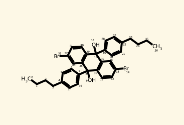 CCCCc1ccc(C2(O)c3ccc(Br)cc3C(O)(c3ccc(CCCC)cc3)c3ccc(Br)cc32)cc1